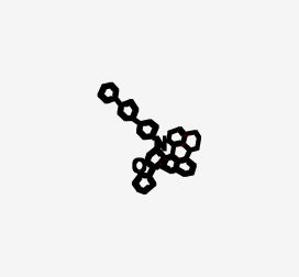 C1=CCC(N(c2ccc(-c3ccc(-c4ccccc4)cc3)cc2)c2ccc3c(c2)oc2ccccc23)C(c2cccc3cccc(C4CCCCC4)c23)=C1